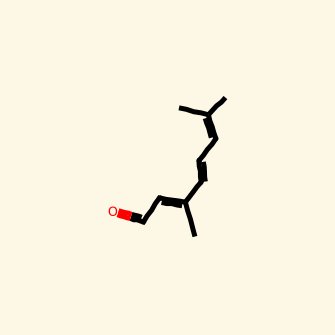 CC(C)=CC=CC(C)=CC=O